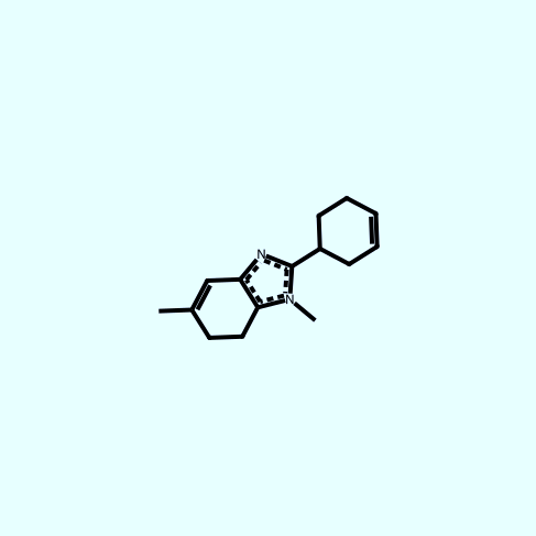 CC1=Cc2nc(C3CC=CCC3)n(C)c2CC1